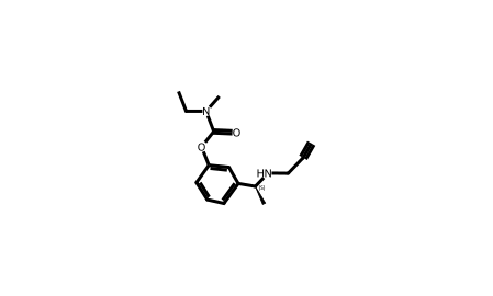 C#CCN[C@@H](C)c1cccc(OC(=O)N(C)CC)c1